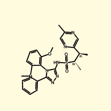 COc1cccc(OC)c1-n1c(NS(=O)(=O)[C@@H](C)[C@H](C)c2cnc(C)cn2)nnc1-c1ccccn1